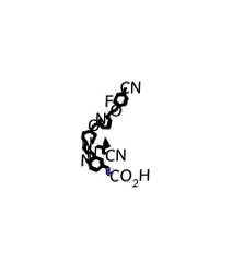 N#CCC1(Cn2c(CN3CCC(Oc4cccc(COc5ccc(C#N)cc5F)n4)CC3)nc3ccc(/C=C/C(=O)O)cc32)CC1